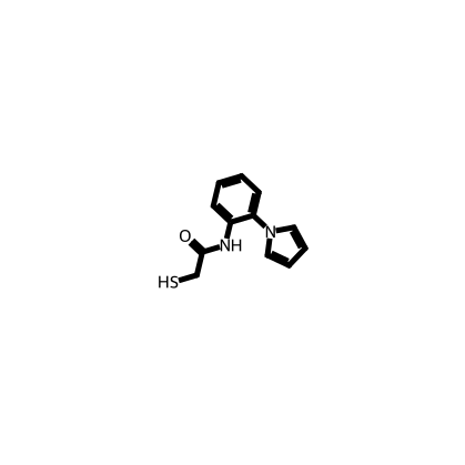 O=C(CS)Nc1ccccc1-n1cccc1